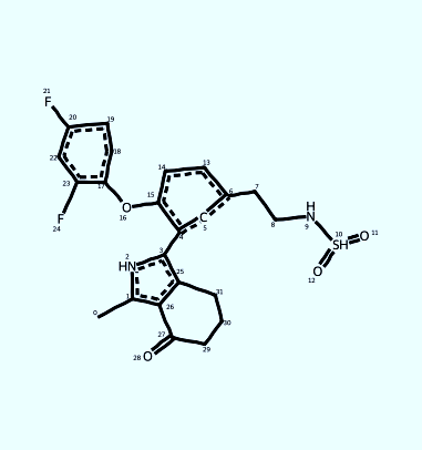 Cc1[nH]c(-c2cc(CCN[SH](=O)=O)ccc2Oc2ccc(F)cc2F)c2c1C(=O)CCC2